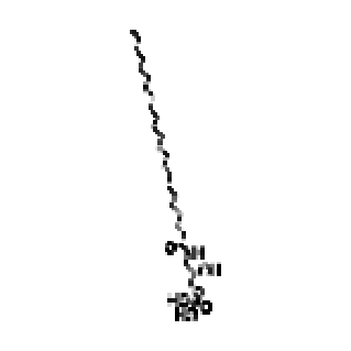 C=CCCCCCCCCCCCCCCCCCCCCC(=O)NCC(O)COP(=O)(O)O